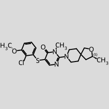 COc1cccc(Sc2cnc(N3CCC4(CC3)CO[C@@H](C)C4)n(C)c2=O)c1Cl